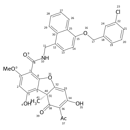 COc1cc(O)c2c(c1C(=O)NCc1ccc(OCc3cccc(Cl)c3)c3ccccc13)OC1=CC(O)=C(C(C)=O)C(=O)[C@]12C